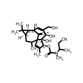 CC1=CC23C(=O)[C@@H](C=C(CO)[C@@H](O)[C@]2(O)[C@H]1OC(=O)N(C)C(C)CC#N)[C@H]1[C@@H](CC3C)C1(C)C